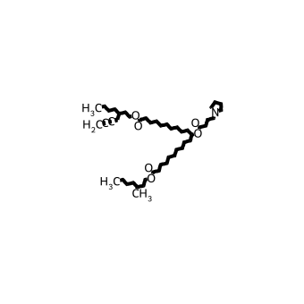 C=C=C=CC(CCCC)CCOC(=O)CCCCCCCCCC(CCCCCCCCCC(=O)OCCC(C)CCCC)OC(=O)CCCN1CCCC1